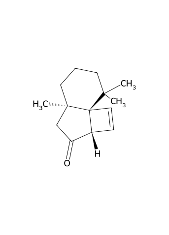 CC1(C)CCC[C@]2(C)CC(=O)[C@H]3C=C[C@@]312